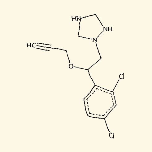 C#CCOC(CN1CNCN1)c1ccc(Cl)cc1Cl